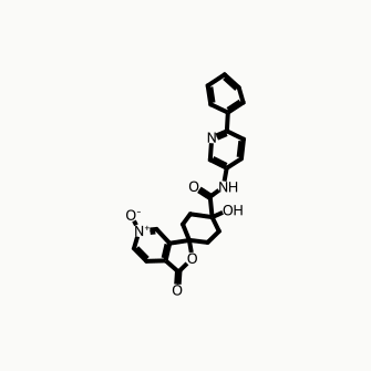 O=C1OC2(CCC(O)(C(=O)Nc3ccc(-c4ccccc4)nc3)CC2)c2c[n+]([O-])ccc21